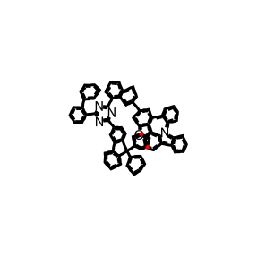 c1ccc(-c2ccccc2-c2nc(-c3ccc4c(c3)-c3ccccc3C4(c3ccccc3)c3ccccc3)nc(-c3cccc4ccc(-c5cc6oc7ccc8c9ccccc9n9c%10ccccc%10c(c5)c6c7c89)cc34)n2)cc1